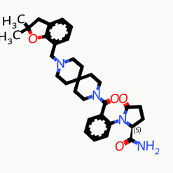 CC1(C)Cc2cccc(CN3CCC4(CC3)CCN(C(=O)c3ccccc3N3C(=O)CC[C@H]3C(N)=O)CC4)c2O1